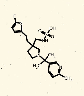 Cc1ccc(C(C)(C)N2CCC(CCc3ccc(F)s3)(CNS(=O)(=O)O)C2)cn1